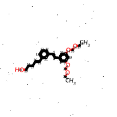 CCOCOc1cc(C=Cc2cccc(C=CCCCO)c2)cc(OCOCC)c1